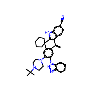 C=C1c2cc(-n3nnc4ccccc43)c(N3CCN(C(C)(C)C)CC3)cc2C2(CCCCC2)c2[nH]c3cc(C#N)ccc3c21